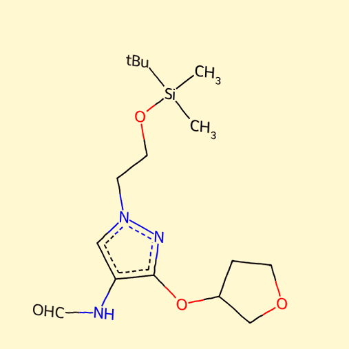 CC(C)(C)[Si](C)(C)OCCn1cc(NC=O)c(OC2CCOC2)n1